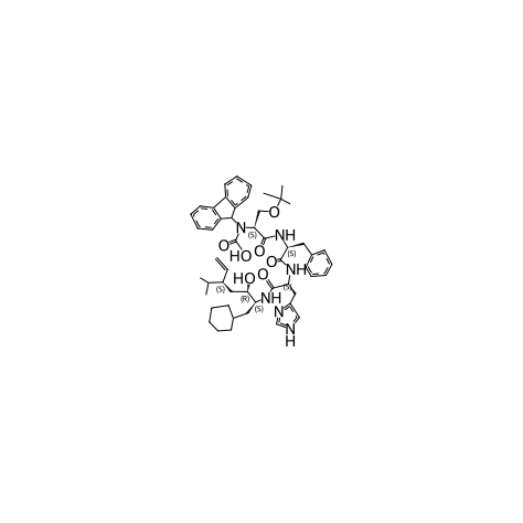 C=C[C@@H](C[C@@H](O)[C@H](CC1CCCCC1)NC(=O)[C@H](Cc1c[nH]cn1)NC(=O)[C@H](Cc1ccccc1)NC(=O)[C@H](COC(C)(C)C)N(C(=O)O)C1c2ccccc2-c2ccccc21)C(C)C